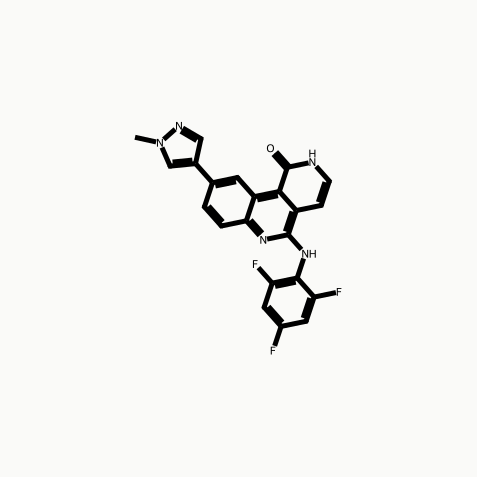 Cn1cc(-c2ccc3nc(Nc4c(F)cc(F)cc4F)c4cc[nH]c(=O)c4c3c2)cn1